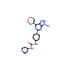 CCn1nnc2c(C3=CCOCC3)nc(-c3ccc(NC(=O)Nc4ccncc4)cc3)nc21